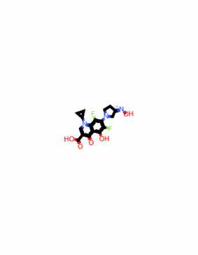 O=C(O)c1cn(C2CC2)c2c(F)c(N3CC/C(=N/O)C3)c(F)c(O)c2c1=O